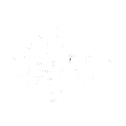 Cc1c(C#N)cccc1[C@H](Nc1cc(Cl)c2ncc(C#N)c(NCC(C)(C)C)c2c1)C1=CN(C2(C(N)=O)CC2)NN1